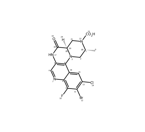 C[C@@H]1CN2c3c(cnc4c(F)c(Br)c(Cl)cc34)NC(=O)[C@H]2CN1C(=O)O